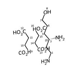 NCC[C@@H](N)CCCO.O=C(O)CCC(=O)O.O=C(O)CCC(=O)O